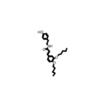 CCCCCOc1ccc(/C=C/C(=O)NCCc2ccc(O)cc2)cc1OCCCCC